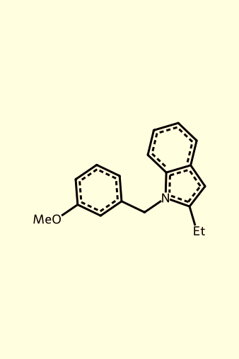 [CH2]Cc1cc2ccccc2n1Cc1cccc(OC)c1